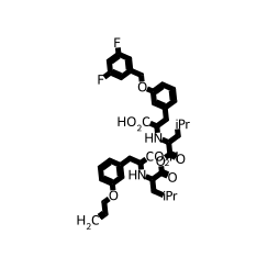 C=CCOc1cccc(CC(NC(CC(C)C)C(=O)OC(=O)C(CC(C)C)NC(Cc2cccc(OCc3cc(F)cc(F)c3)c2)C(=O)O)C(=O)O)c1